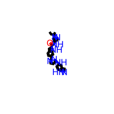 CCC(C)n1cc(NC(=O)c2cc3ccc(-c4nccc(Nc5ccc6[nH]ncc6c5)n4)cc3[nH]2)cn1